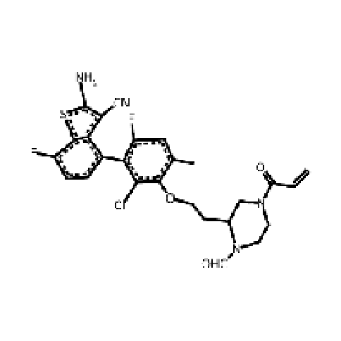 C=CC(=O)N1CCN(C=O)C(CCOc2c(C)cc(F)c(-c3ccc(F)c4sc(N)c(C#N)c34)c2Cl)C1